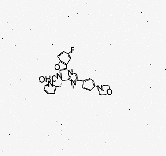 Cn1c(-c2ccc(N3CCOCC3)cc2)cnc1[C@H](Cc1ccccn1)N(C=O)c1cc2cc(F)ccc2o1